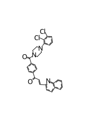 O=C(C=Cc1ccc2ccccc2n1)c1ccc(C(=O)N2CCN(c3cccc(Cl)c3Cl)CC2)cc1